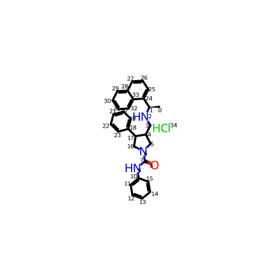 C[C@@H](NCC1CN(C(=O)Nc2ccccc2)CC1c1ccccc1)c1cccc2ccccc12.Cl